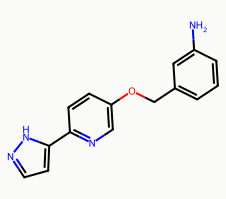 Nc1cccc(COc2ccc(-c3ccn[nH]3)nc2)c1